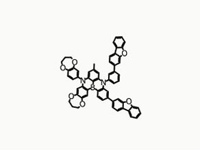 Cc1cc2c3c(c1)N(c1ccc4c(c1)OCCCO4)c1cc4c(cc1B3c1ccc(-c3ccc5c(c3)oc3ccccc35)cc1N2c1cccc(-c2ccc3c(c2)oc2ccccc23)c1)OCCCO4